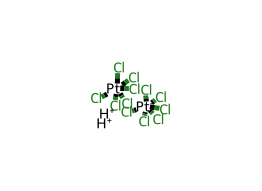 [Cl][Pt-]([Cl])([Cl])([Cl])([Cl])[Cl].[Cl][Pt-]([Cl])([Cl])([Cl])([Cl])[Cl].[H+].[H+]